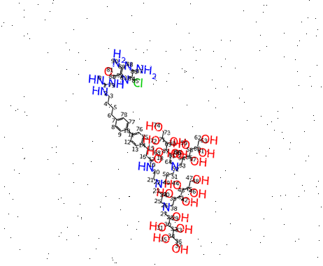 N=C(NCCCCc1ccc(-c2ccc(CCC(=O)NCCN(CCCN(CC(O)C(O)C(O)C(O)CO)C[C@H](O)[C@@H](O)[C@H](O)[C@H](O)CO)CCCN(C[C@H](O)[C@@H](O)[C@H](O)[C@H](O)CO)C[C@H](O)[C@@H](O)[C@H](O)[C@H](O)CO)cc2)cc1)NC(=O)c1nc(Cl)c(N)nc1N